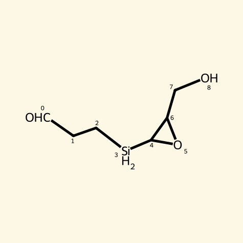 O=CCC[SiH2]C1OC1CO